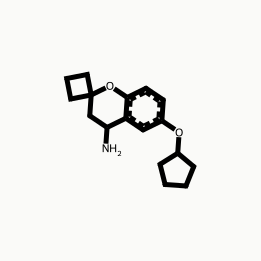 NC1CC2(CCC2)Oc2ccc(OC3CCCC3)cc21